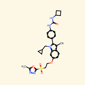 Cc1nnc(S(=O)(=O)CCOc2ccc3c(C#N)c(-c4ccc(NC(=O)NC5CCC5)cc4)n(CC4CC4)c3c2)o1